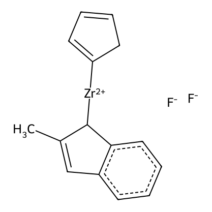 CC1=Cc2ccccc2[CH]1[Zr+2][C]1=CC=CC1.[F-].[F-]